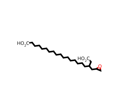 O=C(O)CCCCCCCCCCCCCCCCC(CC(=O)O)CC1CO1